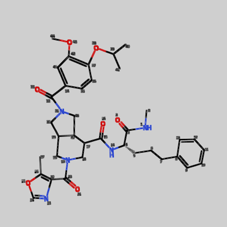 CNC(=O)[C@H](CCCc1ccccc1)NC(=O)C1CN(C(=O)c2ncoc2C)CC2CN(C(=O)c3ccc(OC(C)C)c(OC)c3)CC21